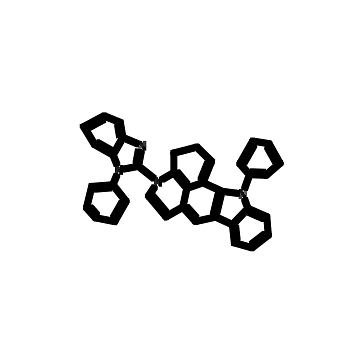 C1=CN(c2nc3ccccc3n2-c2ccccc2)C2=c3c1cc1c4ccccc4n(-c4ccccc4)c1c3=CCC2